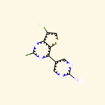 Nc1ncc(-c2nc(Cl)nc3c(Br)csc23)cn1